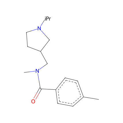 Cc1ccc(C(=O)N(C)CC2CCN(C(C)C)C2)cc1